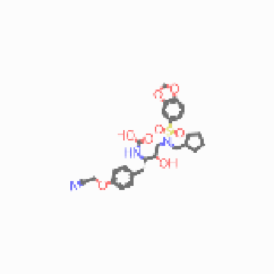 N#CCOc1ccc(C[C@H](NC(=O)O)[C@H](O)CN(CC2CCCC2)S(=O)(=O)c2ccc3c(c2)OCO3)cc1